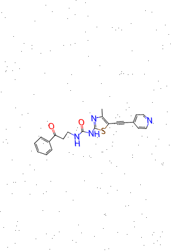 Cc1nc(NC(=O)NCCC(=O)c2ccccc2)sc1C#Cc1ccncc1